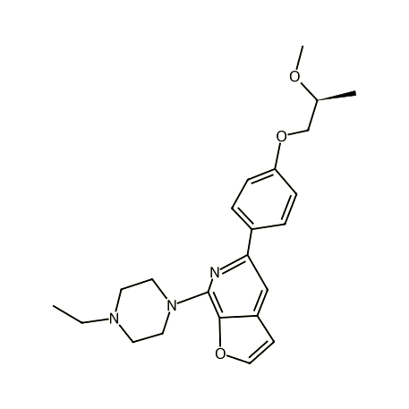 CCN1CCN(c2nc(-c3ccc(OC[C@H](C)OC)cc3)cc3ccoc23)CC1